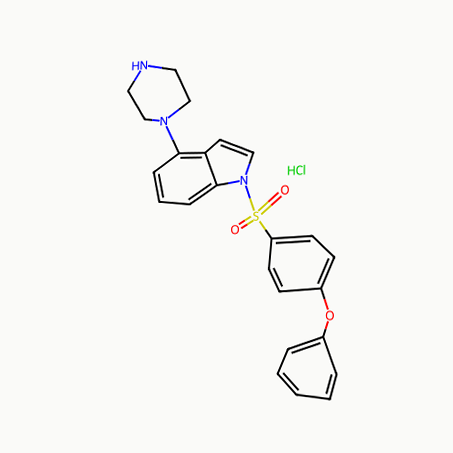 Cl.O=S(=O)(c1ccc(Oc2ccccc2)cc1)n1ccc2c(N3CCNCC3)cccc21